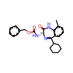 Cc1cccc2c1NC(=O)[C@@H](NC(=O)OCc1ccccc1)N=C2C1CCCCC1